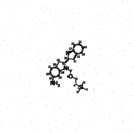 C[Si](C)(C)CCOCN1C(=C2C=c3ccccc3=N2)Cc2ccc(N)cc21